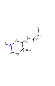 C=C1CCN(C)C/C1=C/C=C\C